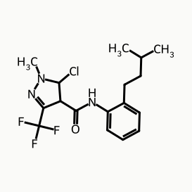 CC(C)CCc1ccccc1NC(=O)C1C(C(F)(F)F)=NN(C)C1Cl